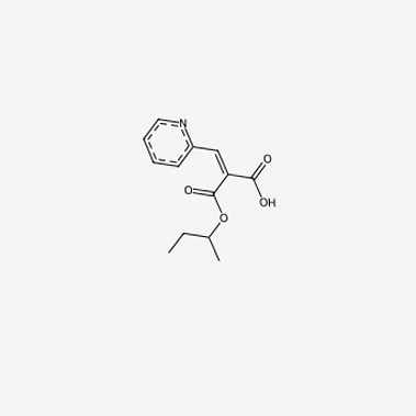 CCC(C)OC(=O)C(=Cc1ccccn1)C(=O)O